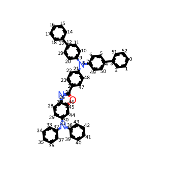 c1ccc(-c2ccc(N(c3ccc(-c4ccccc4)cc3)c3ccc(-c4nc5ccc(N(c6ccccc6)c6ccccc6)cc5o4)cc3)cc2)cc1